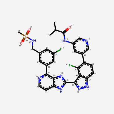 CC(C)C(=O)Nc1cncc(-c2ccc3[nH]nc(-c4nc5c(-c6cc(F)cc(CNS(C)(=O)=O)c6)nccc5[nH]4)c3c2F)c1